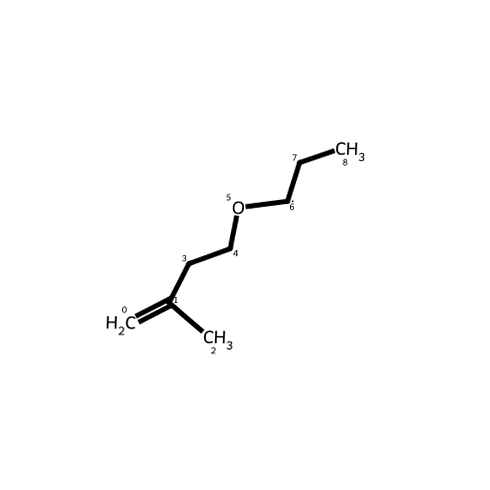 C=C(C)CCO[CH]CC